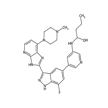 CCCC(O)Nc1cncc(-c2cc(F)c3[nH]nc(-c4nc5c(N6CCN(C)CC6)ccnc5[nH]4)c3c2)c1